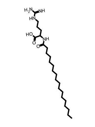 CCCCCCCCCCCCCCCCCC(=O)NC(CCCNC(=N)N)C(=O)O